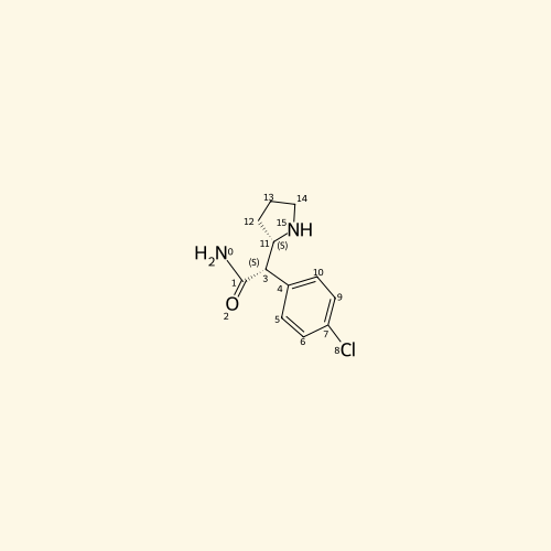 NC(=O)[C@@H](c1ccc(Cl)cc1)[C@@H]1CCCN1